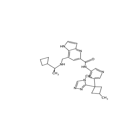 CC1CC(c2cncc(NC(=O)c3cc(CN[C@@H](C)C4CCC4)c4[nH]ccc4n3)c2)(c2nncn2C)C1